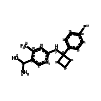 NC(O)c1cnc(NC2(c3ccc(F)cc3)CCC2)nc1C(F)(F)F